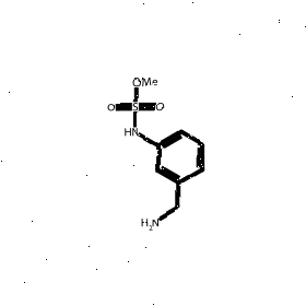 COS(=O)(=O)Nc1cccc(CN)c1